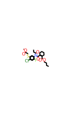 CCCCOC(=O)C1=C(C(=O)N(C(=O)CC)c2cc(SCC(=O)OC)c(Cl)cc2F)CCCC1